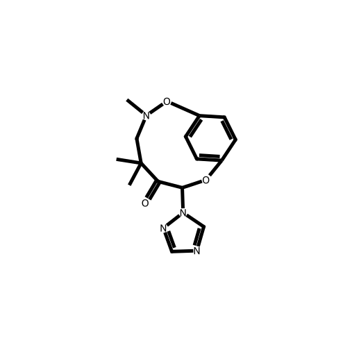 CN1CC(C)(C)C(=O)C(n2cncn2)Oc2ccc(cc2)O1